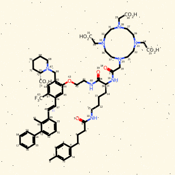 Cc1ccc(CCCC(=O)NCCCC[C@H](NC(=O)CN2CCN(CC(=O)O)CCN(CC(=O)O)CCN(CC(=O)O)CC2)C(=O)NCCOc2cc(/C=C/c3cccc(-c4ccccc4)c3C)c(C(F)(F)F)cc2CN2CCCC[C@H]2C(=O)O)cc1